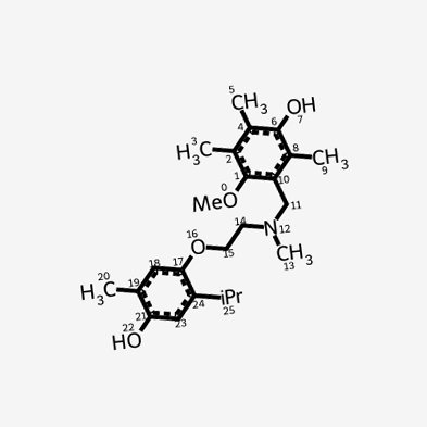 COc1c(C)c(C)c(O)c(C)c1CN(C)CCOc1cc(C)c(O)cc1C(C)C